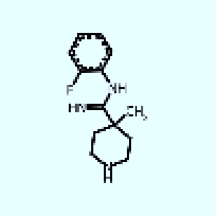 CC1(C(=N)Nc2ccccc2F)CCNCC1